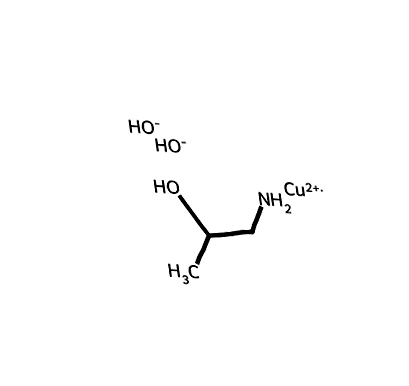 CC(O)CN.[Cu+2].[OH-].[OH-]